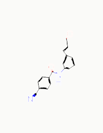 N#Cc1ccc(C(=O)Nc2cccc(/C=C/C[O])c2)cc1